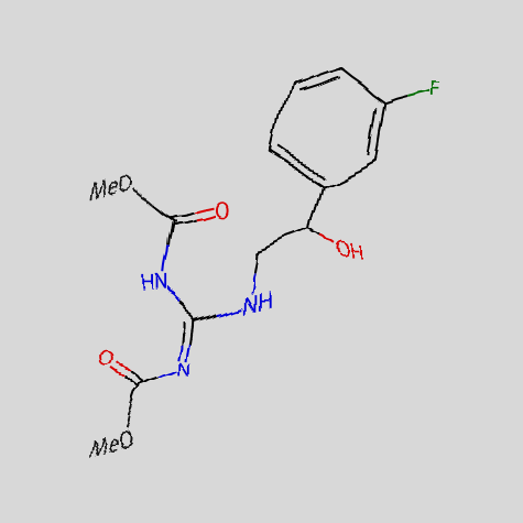 COC(=O)N=C(NCC(O)c1cccc(F)c1)NC(=O)OC